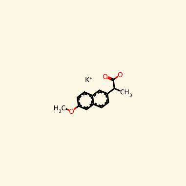 COc1ccc2cc(C(C)C(=O)[O-])ccc2c1.[K+]